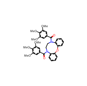 COc1cc(C(=O)N2CCN(C(=O)c3cc(OC)c(OC)c(OC)c3)c3ccccc3Oc3ccccc32)cc(OC)c1OC